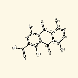 O=C(O)c1cc(O)c2c(c1O)C(=O)c1c(O)ccc(O)c1C2=O